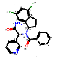 NC(=O)[C@@H](c1cccnc1)N(C(=O)c1ccccc1)[C@@H]1CCc2c(F)cc(F)cc21